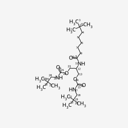 CC(C)(C)CCCCCC(=O)NC(COC(=O)NCC(C)(C)C)COC(=O)NCC(C)(C)C